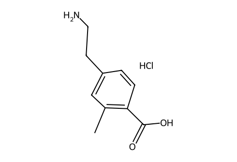 Cc1cc(CCN)ccc1C(=O)O.Cl